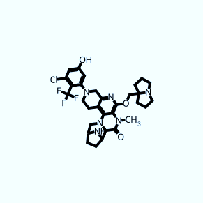 CN1C(=O)C2C3CCC(CN2c2c4c(nc(OCC56CCCN5CCC6)c21)CN(c1cc(O)cc(Cl)c1C(F)(F)F)CC4)N3